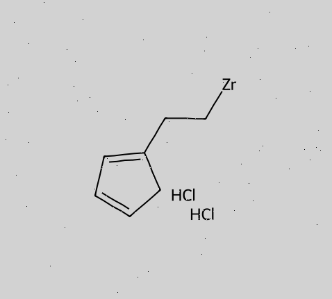 Cl.Cl.[Zr][CH2]CC1=CC=CC1